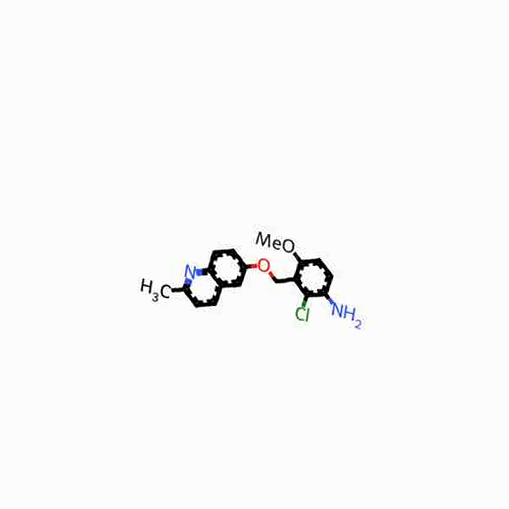 COc1ccc(N)c(Cl)c1COc1ccc2nc(C)ccc2c1